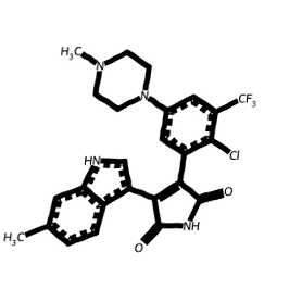 Cc1ccc2c(C3=C(c4cc(N5CCN(C)CC5)cc(C(F)(F)F)c4Cl)C(=O)NC3=O)c[nH]c2c1